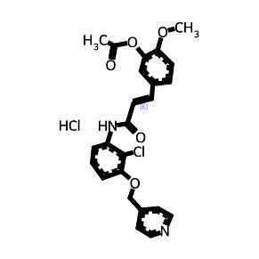 COc1ccc(/C=C/C(=O)Nc2cccc(OCc3ccncc3)c2Cl)cc1OC(C)=O.Cl